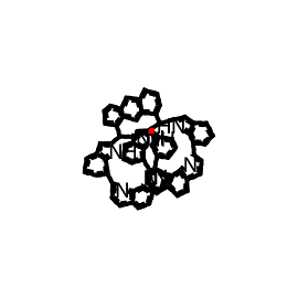 c1cc(C2c3cc4cccc(c4[nH]3)-c3ccc4ccc5ccc(nc5c4n3)-c3cccc4cc2[nH]c34)c2cc3c(C4c5cc6cccc(c6[nH]5)-c5ccc6ccc7ccc(nc7c6n5)-c5cccc6cc4[nH]c56)cccc3cc2c1